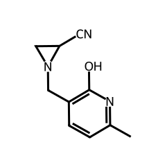 Cc1ccc(CN2CC2C#N)c(O)n1